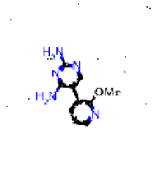 COc1ncccc1-c1cnc(N)nc1N